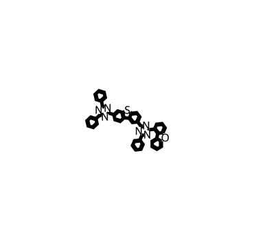 c1ccc(-c2nc(-c3ccccc3)nc(-c3ccc4c(c3)sc3ccc(-c5nc(-c6ccccc6)nc(-c6cccc7oc8ccccc8c67)n5)cc34)n2)cc1